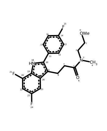 COCCN(C)C(=O)CCc1c(-c2ccc(F)cc2)[nH]c2c(F)cc(F)cc12